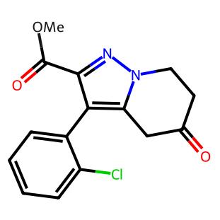 COC(=O)c1nn2c(c1-c1ccccc1Cl)CC(=O)CC2